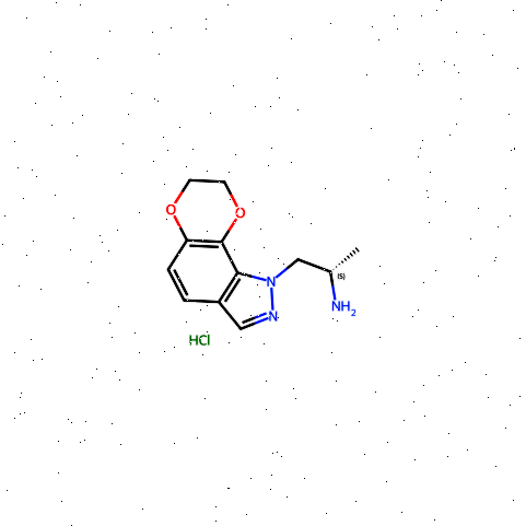 C[C@H](N)Cn1ncc2ccc3c(c21)OCCO3.Cl